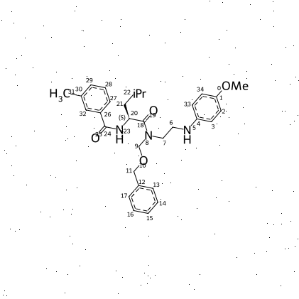 COc1ccc(NCCN(COCc2ccccc2)C(=O)[C@H](CC(C)C)NC(=O)c2cccc(C)c2)cc1